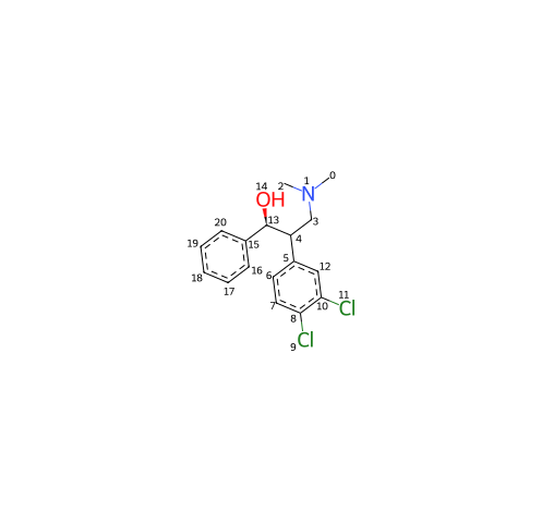 CN(C)CC(c1ccc(Cl)c(Cl)c1)[C@H](O)c1ccccc1